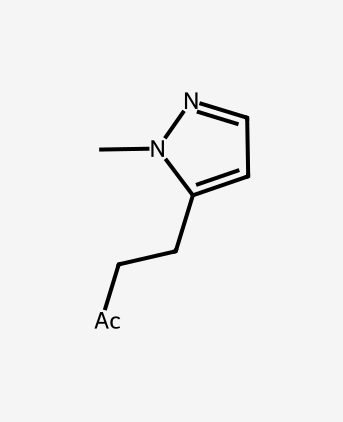 CC(=O)CCc1ccnn1C